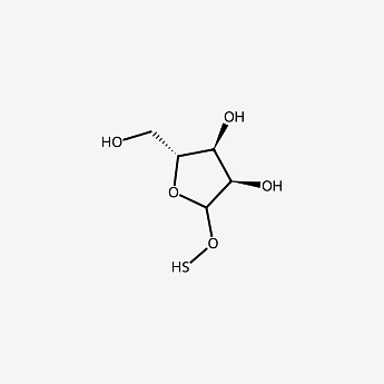 OC[C@H]1OC(OS)[C@H](O)[C@@H]1O